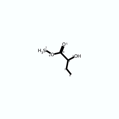 CCC(O)C(=O)O[SiH3]